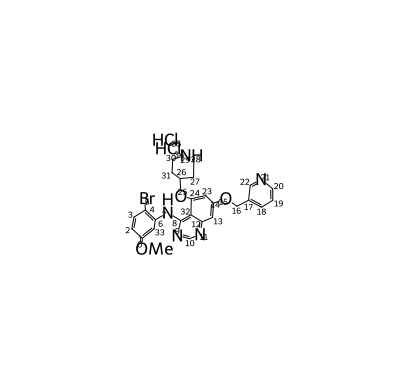 COc1ccc(Br)c(Nc2ncnc3cc(OCc4cccnc4)cc(OC4CCNCC4)c23)c1.Cl.Cl